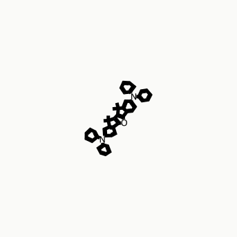 CC1(C)c2cc(N(c3ccccc3)c3ccccc3)ccc2-c2oc3c(c21)C(C)(C)c1cc(N(c2ccccc2)c2ccccc2)ccc1-3